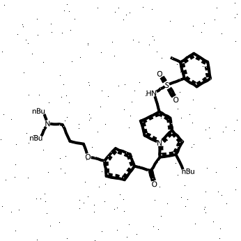 CCCCc1cc2cc(NS(=O)(=O)c3ccccc3C)ccn2c1C(=O)c1ccc(OCCCN(CCCC)CCCC)cc1